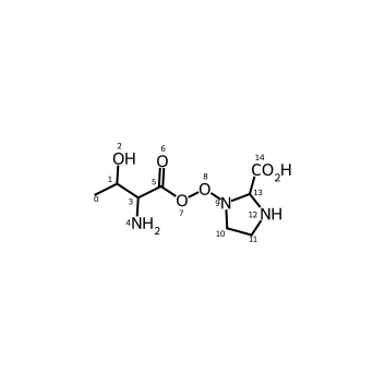 CC(O)C(N)C(=O)OON1CCNC1C(=O)O